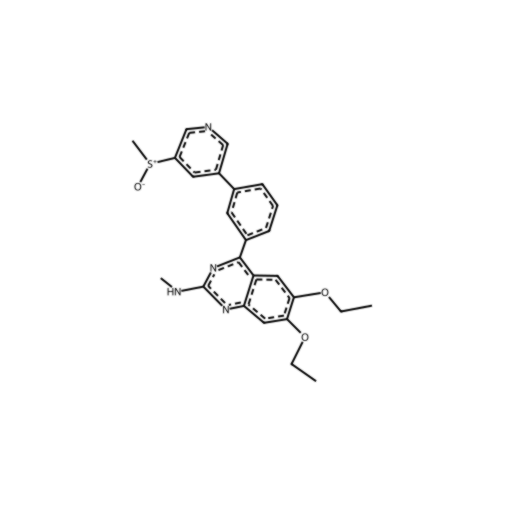 CCOc1cc2nc(NC)nc(-c3cccc(-c4cncc([S+](C)[O-])c4)c3)c2cc1OCC